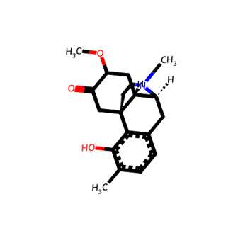 COC1C[C@@H]2[C@@H]3Cc4ccc(C)c(O)c4[C@]2(CCN3C)CC1=O